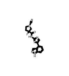 N#CN1CCC(F)(C(=O)Nc2ncc(-c3cccc4[nH]ncc34)s2)C1